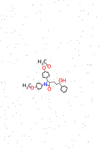 COc1ccc(N2C(=O)C(CC[C@H](O)c3ccccc3)C2c2ccc(OC(C)=O)cc2)cc1